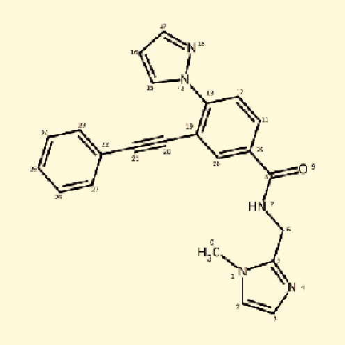 Cn1ccnc1CNC(=O)c1ccc(-n2cccn2)c(C#Cc2ccccc2)c1